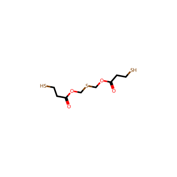 O=C(CCS)OCSCOC(=O)CCS